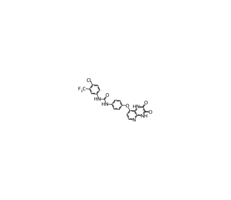 O=C(Nc1ccc(Oc2ccnc3[nH]c(=O)c(=O)[nH]c23)cc1)Nc1ccc(Cl)c(C(F)(F)F)c1